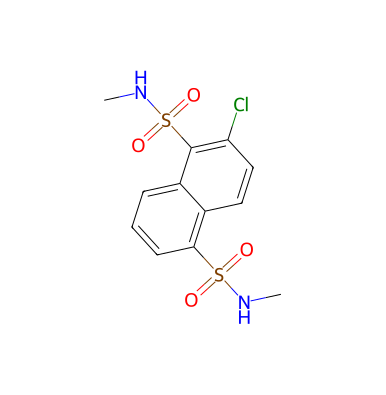 CNS(=O)(=O)c1cccc2c(S(=O)(=O)NC)c(Cl)ccc12